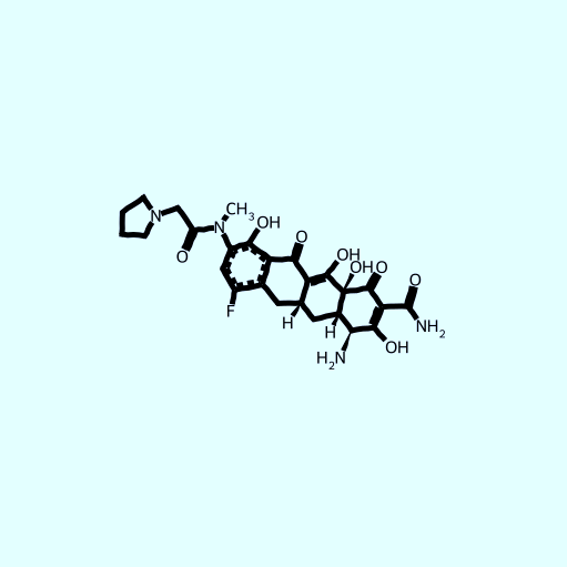 CN(C(=O)CN1CCCC1)c1cc(F)c2c(c1O)C(=O)C1=C(O)[C@]3(O)C(=O)C(C(N)=O)=C(O)[C@@H](N)[C@@H]3C[C@@H]1C2